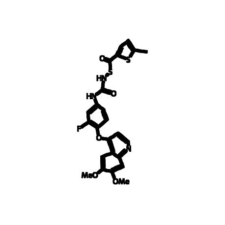 COc1cc2nccc(Oc3ccc(NC(=O)NSC(=O)c4ccc(C)s4)cc3F)c2cc1OC